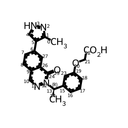 Cc1n[nH]cc1-c1ccc2cnn([C@H](C)c3cccc(OCC(=O)O)c3)c(=O)c2c1